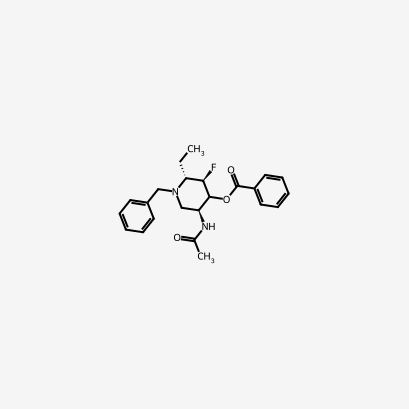 CC[C@@H]1[C@@H](F)C(OC(=O)c2ccccc2)[C@@H](NC(C)=O)CN1Cc1ccccc1